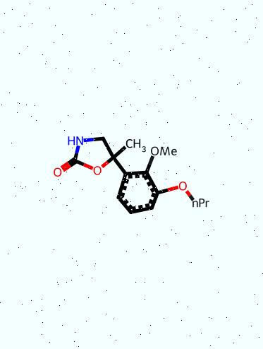 CCCOc1cccc(C2(C)CNC(=O)O2)c1OC